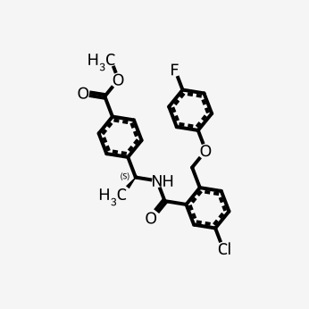 COC(=O)c1ccc([C@H](C)NC(=O)c2cc(Cl)ccc2COc2ccc(F)cc2)cc1